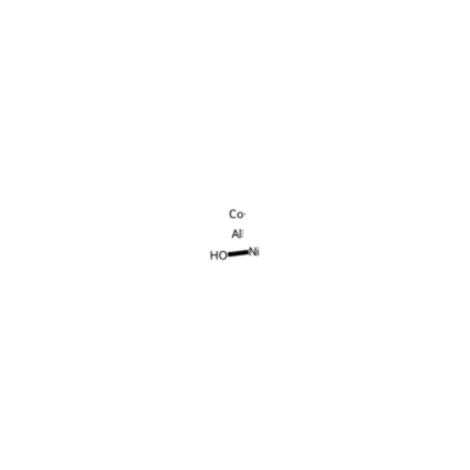 [Al].[Co].[OH][Ni]